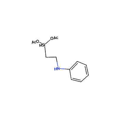 CC(=O)O[SiH](CCNc1ccccc1)OC(C)=O